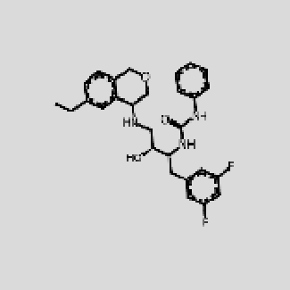 CCc1ccc2c(c1)C(NC[C@H](O)[C@H](Cc1cc(F)cc(F)c1)NC(=O)Nc1ccccc1)COC2